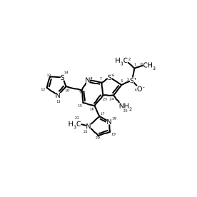 CC(C)[S+]([O-])c1sc2nc(-c3nccs3)cc(-c3nccn3C)c2c1N